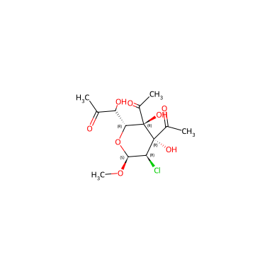 CO[C@H]1O[C@H](C(O)C(C)=O)[C@](O)(C(C)=O)[C@@](O)(C(C)=O)[C@H]1Cl